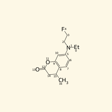 CCN(CCF)c1ccc2c(c1)OC(=O)CC2C